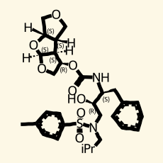 Cc1ccc(S(=O)(=O)N(CC(C)C)C[C@@H](O)[C@H](Cc2ccccc2)NC(=O)O[C@H]2CO[C@H]3O[C@@H]4COC[C@@H]4[C@H]32)cc1